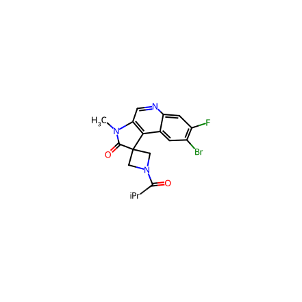 CC(C)C(=O)N1CC2(C1)C(=O)N(C)c1cnc3cc(F)c(Br)cc3c12